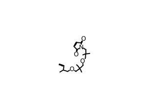 C=CC(C)COCC(C)(C)COCC(C)(C)CN1C(=O)C=CC1=O